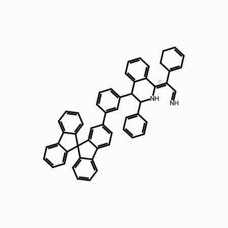 N=C/C(C1=CC=CCC1)=C1\NC(c2ccccc2)C(c2cccc(-c3ccc4c(c3)C3(c5ccccc5-c5ccccc53)c3ccccc3-4)c2)c2ccccc21